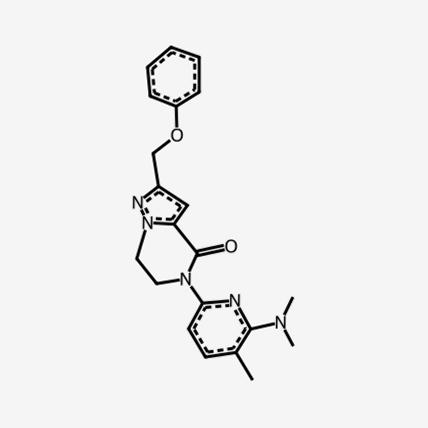 Cc1ccc(N2CCn3nc(COc4ccccc4)cc3C2=O)nc1N(C)C